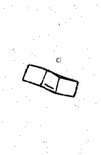 C12=C3C4C1C1C2C3C41.[C]